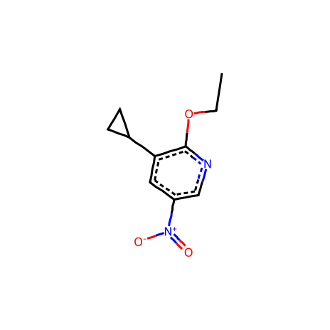 CCOc1ncc([N+](=O)[O-])cc1C1CC1